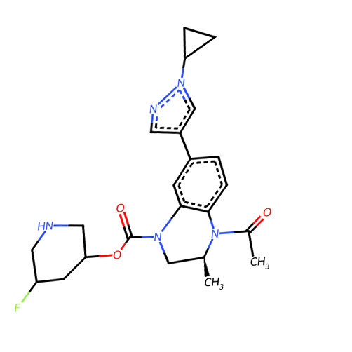 CC(=O)N1c2ccc(-c3cnn(C4CC4)c3)cc2N(C(=O)OC2CNCC(F)C2)C[C@@H]1C